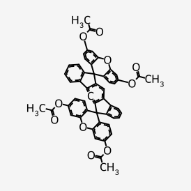 CC(=O)Oc1ccc2c(c1)Oc1cc(OC(C)=O)ccc1C21c2ccccc2-c2cc3c(cc21)-c1ccccc1C31c2ccc(OC(C)=O)cc2Oc2cc(OC(C)=O)ccc21